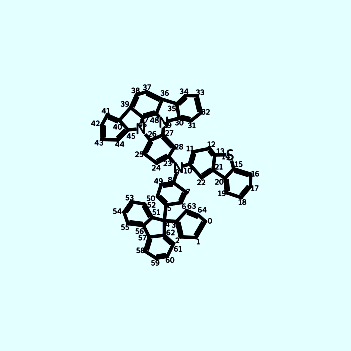 c1ccc(C2(c3ccc(N(c4ccc5sc6ccccc6c5c4)c4ccc5c(c4)n4c6ccccc6c6ccc7c8ccccc8n5c7c64)cc3)c3ccccc3-c3ccccc32)cc1